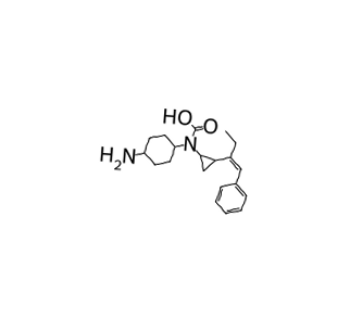 CCC(=Cc1ccccc1)C1CC1N(C(=O)O)C1CCC(N)CC1